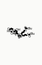 CC(C)(C)C(=O)SCCCCOP(=O)(OCCCCSC(=O)C(C)(C)C)OC[C@]1(F)C[C@@](C)(O)[C@H](N2C=CC(=O)NC2O)O1